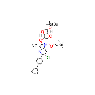 CC(C)(C)[Si](C)(C)O[C@@H]1CO[C@H]2[C@@H]1OC[C@H]2Oc1c(C#N)c2nc(-c3ccc(-c4ccccc4)cc3)c(Cl)cc2n1COCC[Si](C)(C)C